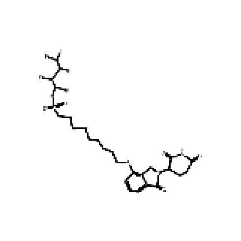 O=C1CCC(N2Cc3c(SCCCCCCCCCS(=O)(=O)CC(F)C(F)C(F)C(F)F)cccc3C2=O)C(=O)N1